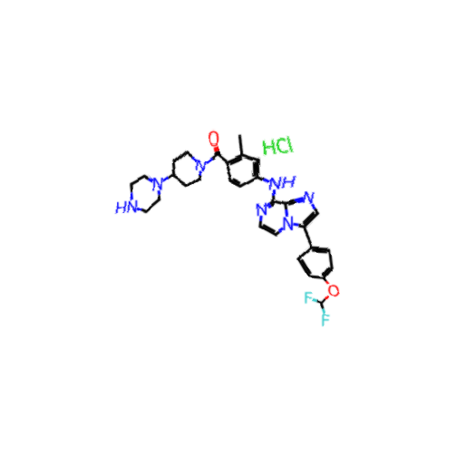 Cc1cc(Nc2nccn3c(-c4ccc(OC(F)F)cc4)cnc23)ccc1C(=O)N1CCC(N2CCNCC2)CC1.Cl